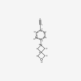 C#Cc1ccc(N2CC3(COC3)C2)nc1